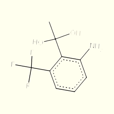 CC(O)(O)c1c(N)cccc1C(F)(F)F